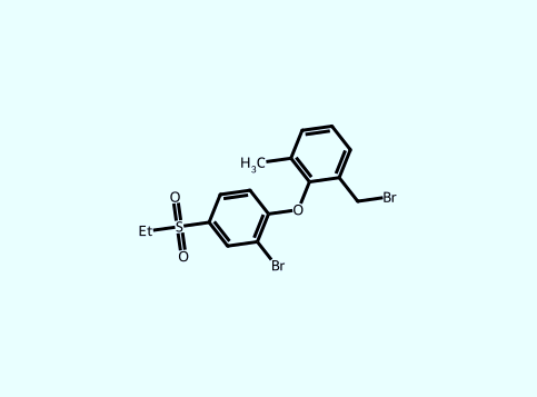 CCS(=O)(=O)c1ccc(Oc2c(C)cccc2CBr)c(Br)c1